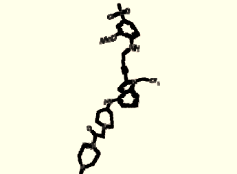 COc1cc(S(C)(=O)=O)ccc1NCC#Cc1cc2c(NC3CCN(CC(=O)N4CCN(C)CC4)CC3)cccc2n1CC(F)(F)F